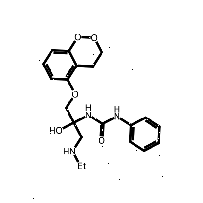 CCNCC(O)(COc1cccc2c1CCOO2)NC(=O)Nc1ccccc1